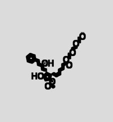 COCCOCCOCCOC(=O)CCC/C=C\C[C@@H]1[C@@H](CC[C@@H](O)CCc2ccccc2)[C@H](O)C[C@@H]1OC(C)=O